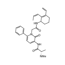 C=CC1=C(/C=C\C)C(NC(=O)Cn2c(-c3ccccc3)ccc(NC(=O)[C@H](C)NC)c2=O)CCC1